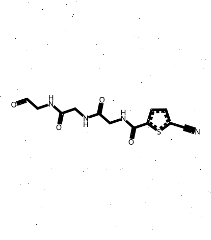 N#Cc1ccc(C(=O)NCC(=O)NCC(=O)NCC=O)s1